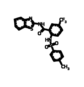 Cc1ccc(S(=O)(=O)Nc2ccc(C(F)(F)F)cc2C(=O)Nc2nc3ccccc3s2)cc1